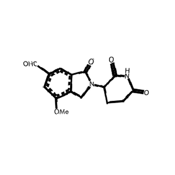 COc1cc(C=O)cc2c1CN(C1CCC(=O)NC1=O)C2=O